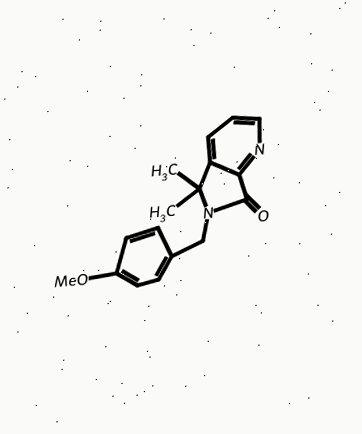 COc1ccc(CN2C(=O)c3ncccc3C2(C)C)cc1